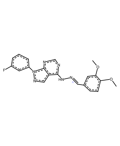 COc1ccc(/C=N/Nc2ncnc3c2cnn3-c2cccc(F)c2)cc1OC